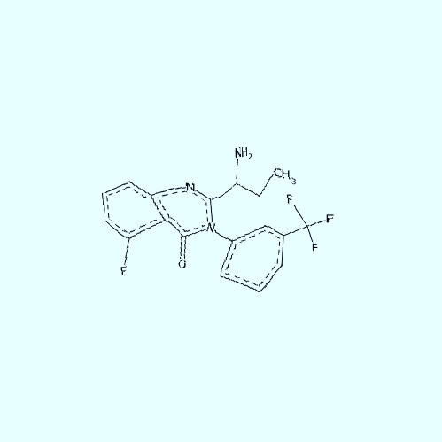 CCC(N)c1nc2cccc(F)c2c(=O)n1-c1cccc(C(F)(F)F)c1